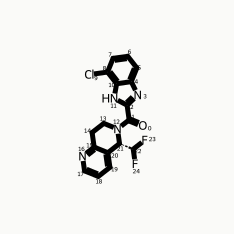 O=C(c1nc2cccc(Cl)c2[nH]1)N1CCc2ncccc2[C@H]1C(F)F